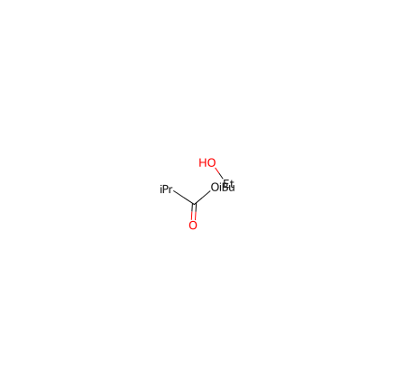 CC(C)COC(=O)C(C)C.CCO